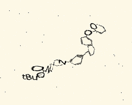 CC(C)(C)OC(=O)N1CC2(CCN(c3ccc(C4=CCCc5cc(OC6CCCCO6)ccc54)cc3)CC2)C1